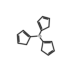 C1=CC[C]([Th]([C]2=CC=CC2)[C]2=CC=CC2)=C1